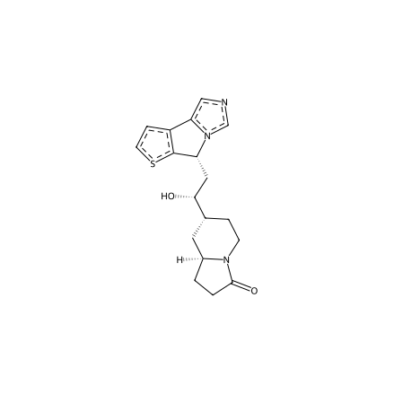 O=C1CC[C@H]2C[C@H]([C@H](O)C[C@@H]3c4sccc4-c4cncn43)CCN12